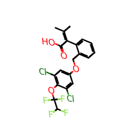 CC(C)=C(C(=O)O)c1ccccc1COc1cc(Cl)c(OC(F)(F)C(F)F)c(Cl)c1